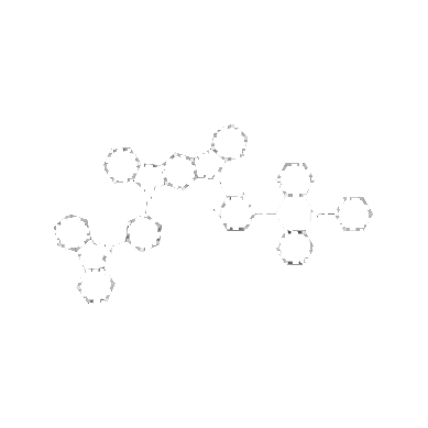 c1ccc(N2c3ccccc3C(c3ccnc(-n4c5ccccc5c5cc6c7ccccc7n(-c7cccc(-n8c9ccccc9c9ccccc98)c7)c6cc54)n3)c3ccccc32)cc1